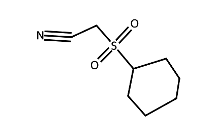 N#CCS(=O)(=O)C1CCCCC1